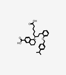 CC(C)c1ccc(COc2ccccc2CCC(CCCCC(=O)O)[C@H]2CCCc3cc(C(=O)O)ccc32)cc1